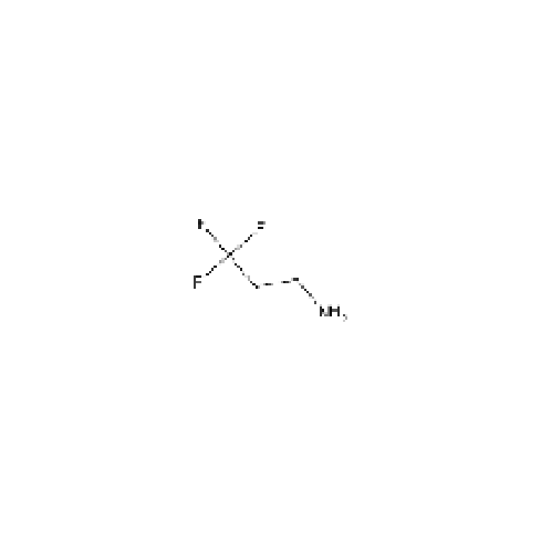 NC[CH]C(F)(F)F